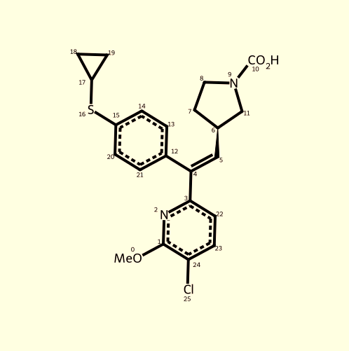 COc1nc(/C(=C/[C@H]2CCN(C(=O)O)C2)c2ccc(SC3CC3)cc2)ccc1Cl